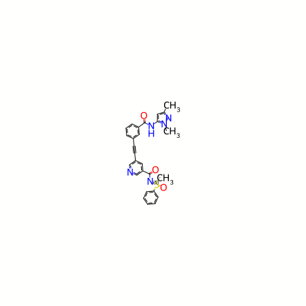 Cc1cc(NC(=O)c2cccc(C#Cc3cncc(C(=O)N=[S@@](C)(=O)c4ccccc4)c3)c2)n(C)n1